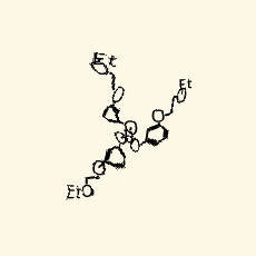 CCOCCOc1cccc(OB(Oc2cccc(OCCOCC)c2)Oc2cccc(OCCOCC)c2)c1